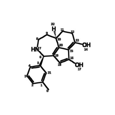 Cc1cccc([C@H]2NCC[C@H]3CCC(O)=C4C(O)=CC2=C43)c1